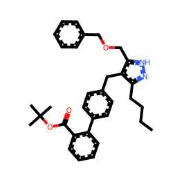 CCCCc1n[nH]c(COCc2ccccc2)c1Cc1ccc(-c2ccccc2C(=O)OC(C)(C)C)cc1